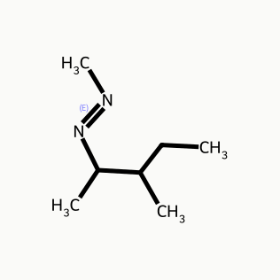 CCC(C)C(C)/N=N/C